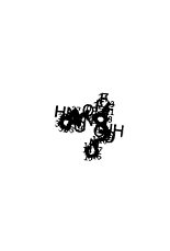 O=C(Nc1cc(NS(=O)(=O)CCN2CCCCC2)cc(C(F)(F)CF)c1)c1c[nH]c2ccccc2c1=O